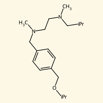 CC(C)CN(C)CCN(C)Cc1ccc(COC(C)C)cc1